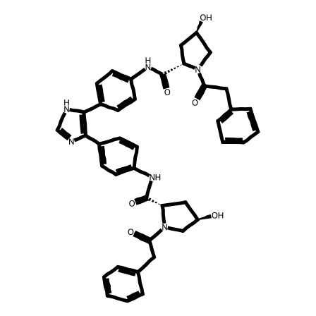 O=C(Nc1ccc(-c2nc[nH]c2-c2ccc(NC(=O)[C@@H]3C[C@@H](O)CN3C(=O)Cc3ccccc3)cc2)cc1)[C@@H]1C[C@@H](O)CN1C(=O)Cc1ccccc1